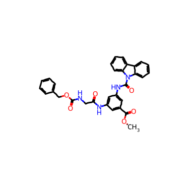 COC(=O)c1cc(NC(=O)CNC(=O)OCc2ccccc2)cc(NC(=O)n2c3ccccc3c3ccccc32)c1